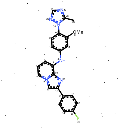 COc1cc(Nc2cccn3cc(-c4ccc(F)cc4)nc23)ccc1-n1ncnc1C